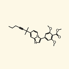 CCCC#CC(C)(C)c1ccn2c(-c3cc(OC)c(C(=O)OC)c(OC)c3)cnc2c1